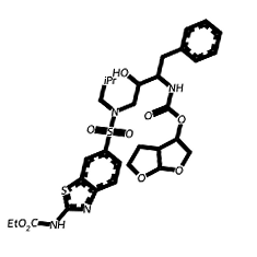 CCOC(=O)Nc1nc2ccc(S(=O)(=O)N(CC(C)C)CC(O)C(Cc3ccccc3)NC(=O)OC3COC4OCCC34)cc2s1